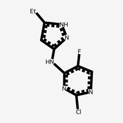 CCc1cc(Nc2nc(Cl)ncc2F)n[nH]1